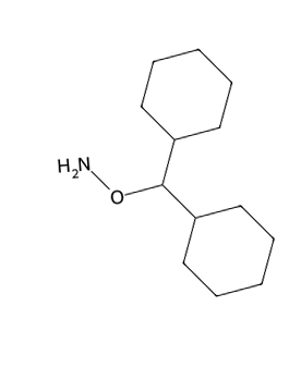 NOC(C1CCCCC1)C1CCCCC1